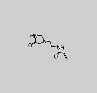 C=CC(=O)NCCN1CNC(=O)C1